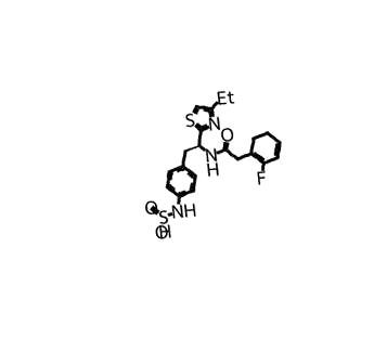 CCc1csc([C@H](Cc2ccc(N[SH](=O)=O)cc2)NC(=O)CC2=C(F)C=CCC2)n1